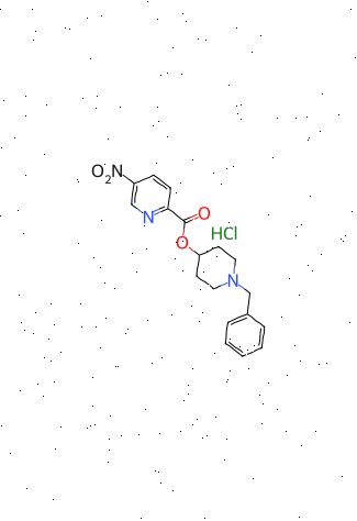 Cl.O=C(OC1CCN(Cc2ccccc2)CC1)c1ccc([N+](=O)[O-])cn1